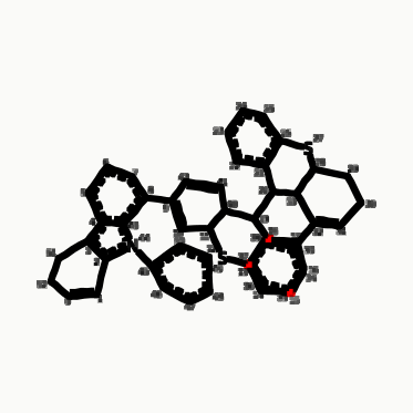 C1=Cc2c(c3cccc(C4=CC5SC6=CCCC=C6C(C6c7ccccc7SC7CCC=C(c8ccccc8)C76)C5C=C4)c3n2-c2ccccc2)CC1